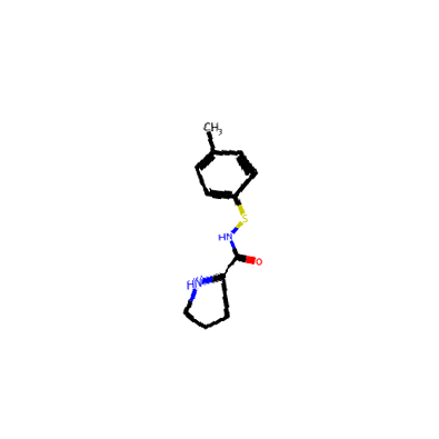 Cc1ccc(SNC(=O)[C@H]2CCCN2)cc1